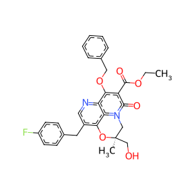 CCOC(=O)c1c(OCc2ccccc2)c2ncc(Cc3ccc(F)cc3)c3c2n(c1=O)C[C@@](C)(CO)O3